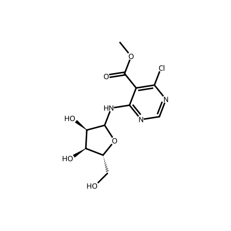 COC(=O)c1c(Cl)ncnc1NC1O[C@H](CO)[C@@H](O)[C@H]1O